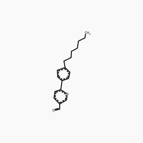 CCCCCCCc1ccc(-c2ccc(C=O)cn2)cc1